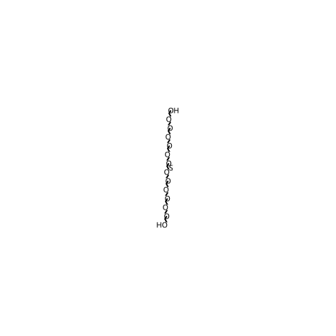 CSC.OCCOCCOCCOCCOCCOCCOCCOCCOCCOCCOCCOCCOCCO